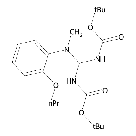 CCCOc1ccccc1N(C)C(NC(=O)OC(C)(C)C)NC(=O)OC(C)(C)C